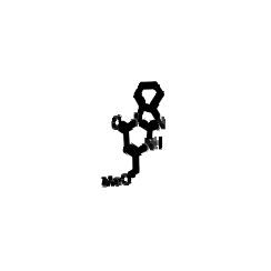 COCc1cc(=O)n2c(nc3ccccc32)[nH]1